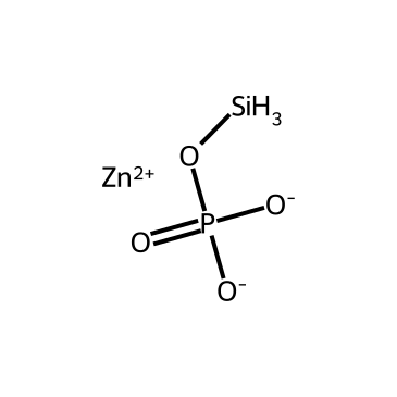 O=P([O-])([O-])O[SiH3].[Zn+2]